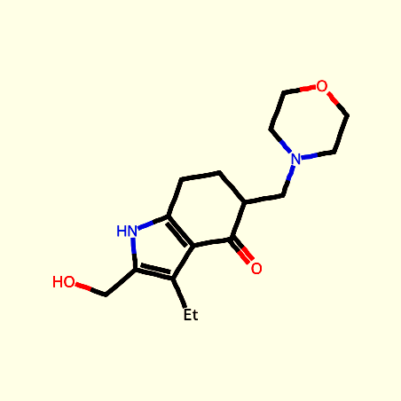 CCc1c(CO)[nH]c2c1C(=O)C(CN1CCOCC1)CC2